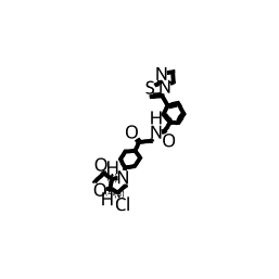 O=C(NCC(=O)C1CCC(N2C[C@H](Cl)[C@H]3OCC(=O)[C@H]32)CC1)c1cccc(C2=CSC3=NCCN23)c1